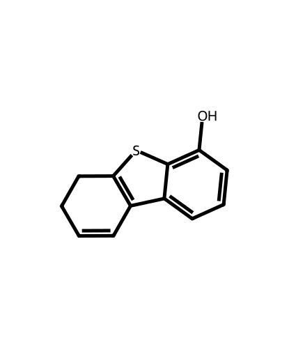 Oc1cccc2c3c(sc12)CCC=C3